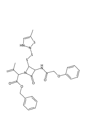 C=C(C)C(C(=O)OCc1ccccc1)N1C(=O)C(NC(=O)COc2ccccc2)C1SSN1NC=C(C)S1